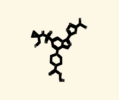 CC(C)(C)OC(=O)N1CCN(c2cc(S(=O)(=O)NC3(CF)CC3)cn3c(-c4nnc(C(F)F)s4)ncc23)CC1